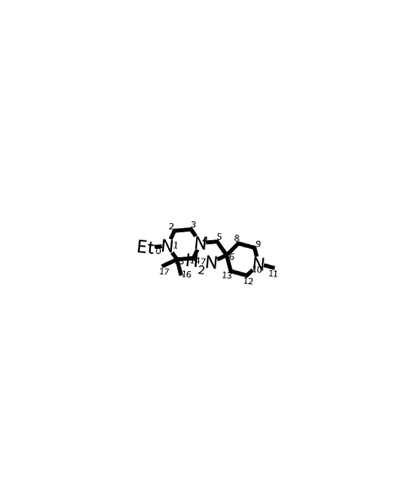 CCN1CCN(CC2(N)CCN(C)CC2)CC1(C)C